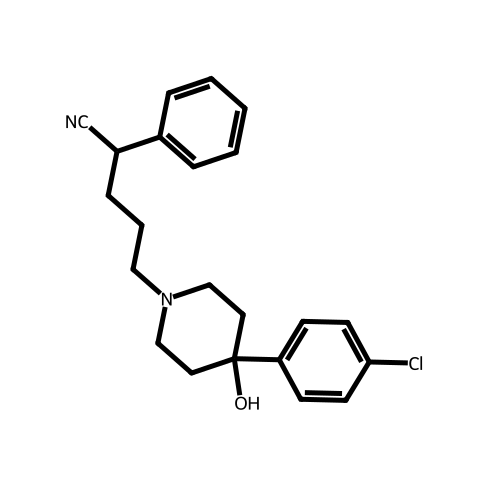 N#CC(CCCN1CCC(O)(c2ccc(Cl)cc2)CC1)c1ccccc1